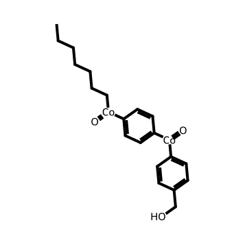 CCCCCC[CH2][Co](=[O])[c]1cc[c]([Co](=[O])[c]2ccc(CO)cc2)cc1